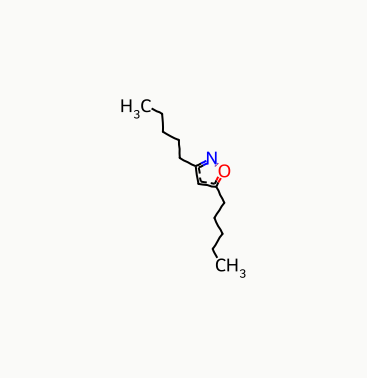 CCCCCc1cc(CCCCC)on1